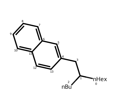 CCCCCCC(CCCC)Cc1[c]c2ccccc2cc1